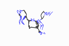 N#Cc1ccc(-c2ccncn2)nc1NC1CCNC1